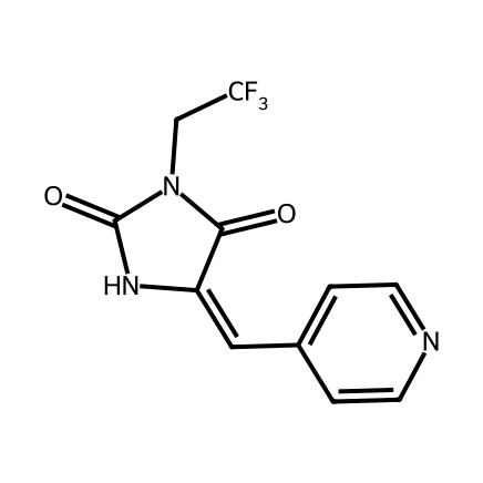 O=C1NC(=Cc2ccncc2)C(=O)N1CC(F)(F)F